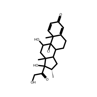 C[C@H]1CC2C3CCC4=CC(=O)C=CC4(C)C3(Cl)C(O)CC2(C)C1(O)C(=O)CO